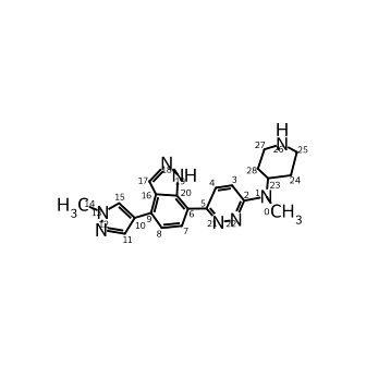 CN(c1ccc(-c2ccc(-c3cnn(C)c3)c3cn[nH]c23)nn1)C1CCNCC1